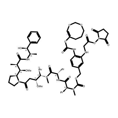 CC[C@H](C)[C@@H]([C@@H](CC(=O)N1CCC[C@H]1[C@H](OC)[C@@H](C)C(=O)N[C@H](C)[C@@H](O)c1ccccc1)OC)N(C)C(=O)[C@@H](NC(=O)[C@H](C(C)C)N(C)C(=O)OCc1ccc(NC(=O)O/C2=C/OCOCCC2)c(NCC(=O)ON2C(=O)CCC2=O)c1)C(C)C